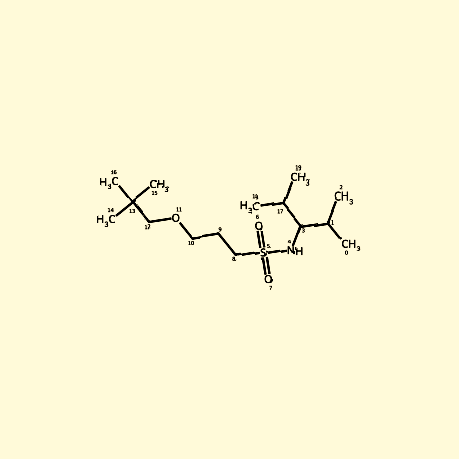 CC(C)C(NS(=O)(=O)CCCOCC(C)(C)C)C(C)C